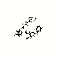 CC(C)[C@@H](CCCc1ccccc1)[C@H](O)C=C[C@H]1CC(F)(F)C(=O)N1CCCCCCC(=O)O